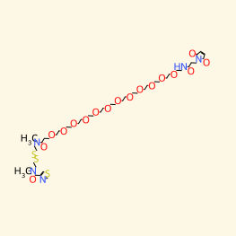 CN(CCSSCCN(C)C(=O)c1cscn1)C(=O)CCOCCOCCOCCOCCOCCOCCOCCOCCOCCOCCOCCOCCNC(=O)CCN1C(=O)C=CC1=O